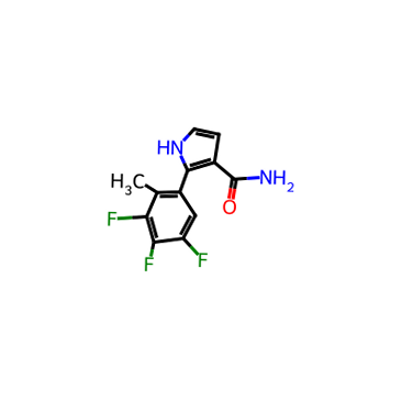 Cc1c(-c2[nH]ccc2C(N)=O)cc(F)c(F)c1F